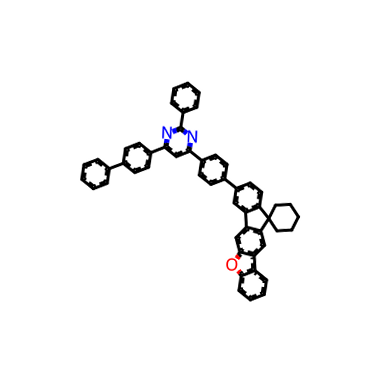 c1ccc(-c2ccc(-c3cc(-c4ccc(-c5ccc6c(c5)-c5cc7oc8ccccc8c7cc5C65CCCCC5)cc4)nc(-c4ccccc4)n3)cc2)cc1